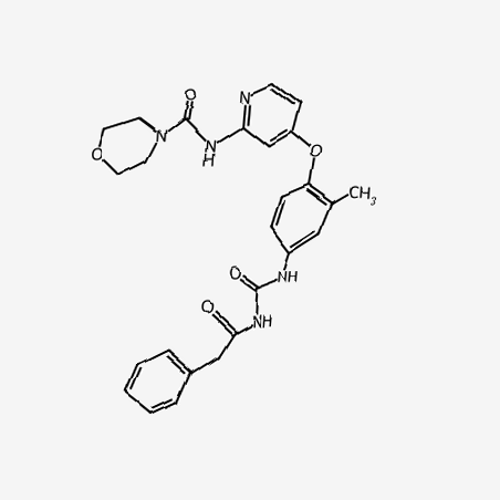 Cc1cc(NC(=O)NC(=O)Cc2ccccc2)ccc1Oc1ccnc(NC(=O)N2CCOCC2)c1